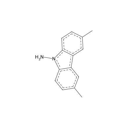 Cc1ccc2c(c1)c1cc(C)ccc1n2N